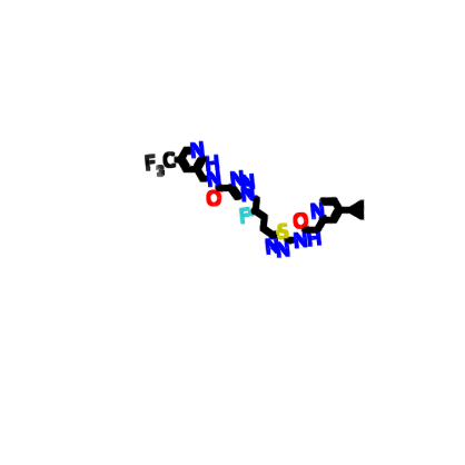 O=C(Cc1cc(C2CC2)ccn1)Nc1nnc(CCC(F)Cn2cc(C(=O)NCc3cncc(C(F)(F)F)c3)nn2)s1